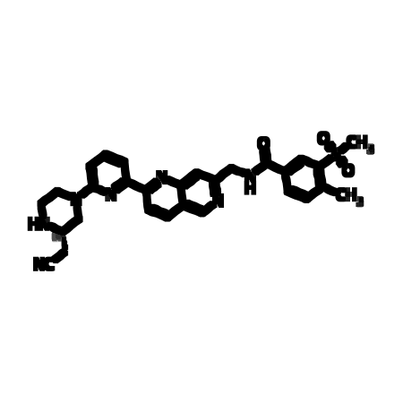 Cc1ccc(C(=O)NCc2cc3nc(-c4cccc(N5CCN[C@@H](CC#N)C5)n4)ccc3cn2)cc1S(C)(=O)=O